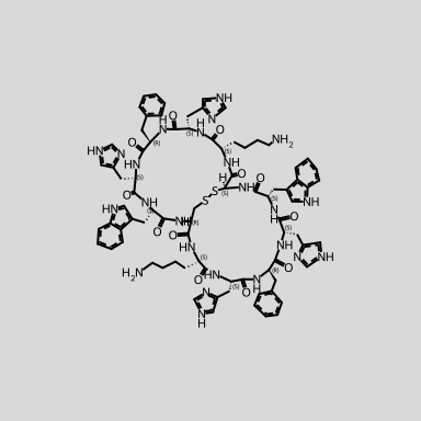 NCCCC[C@@H]1NC(=O)[C@@H]2CSS[C@H](NC(=O)[C@H](Cc3c[nH]c4ccccc34)NC(=O)[C@H](Cc3c[nH]cn3)NC(=O)[C@@H](Cc3ccccc3)NC(=O)[C@H](Cc3c[nH]cn3)NC1=O)C(=O)N[C@@H](CCCCN)C(=O)N[C@@H](Cc1c[nH]cn1)C(=O)N[C@H](Cc1ccccc1)C(=O)N[C@@H](Cc1c[nH]cn1)C(=O)N[C@@H](Cc1c[nH]c3ccccc13)C(=O)N2